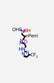 CCCCCC(CN(O)C=O)c1nnc(CNc2nccc(C(F)(F)F)n2)o1